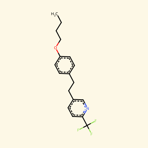 CCCCOc1ccc(CCc2ccc(C(F)(F)F)nc2)cc1